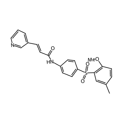 COc1ccc(C)cc1S(=O)(=O)c1ccc(NC(=O)C=Cc2cccnc2)cc1